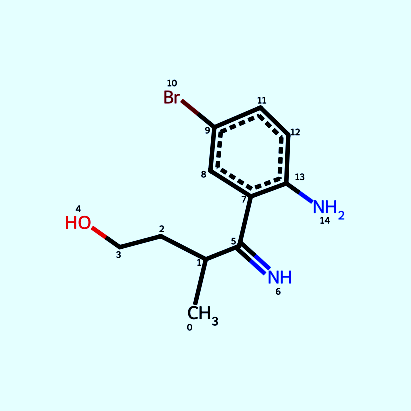 CC(CCO)C(=N)c1cc(Br)ccc1N